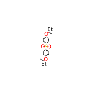 C=C(CC)Oc1ccc(S(=O)(=O)c2ccc(OC(=C)CC)cc2)cc1